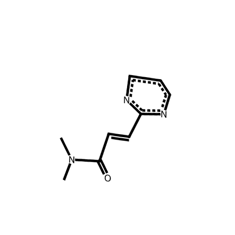 CN(C)C(=O)C=Cc1ncccn1